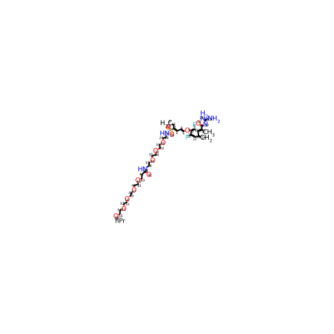 C=C/C(=C\C=C\OC(=C\F)/C(F)=C\C(=C)/C=C(\C)C(=O)N=C(N)N)S(=O)(=O)NCCOCCOCCOCCNC(=O)CCOCCOCCOCCOCCOCCC